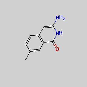 Cc1ccc2cc(N)[nH]c(=O)c2c1